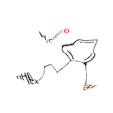 C=O.CCCCCCCCc1ccccc1Br